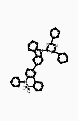 O=S1(=O)c2ccccc2-c2cc(-c3ccc4c(c3)c3ccccc3n4-c3nc(-c4ccccc4)nc(-c4ccccc4)n3)ccc2N1c1ccccc1